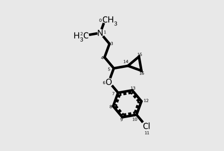 CN(C)CCC(Oc1ccc(Cl)cc1)C1CC1